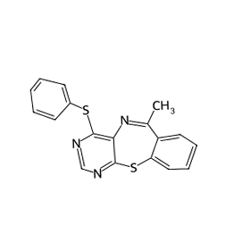 CC1=Nc2c(Sc3ccccc3)ncnc2Sc2ccccc21